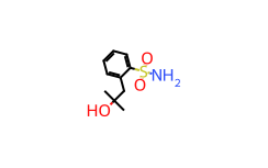 CC(C)(O)Cc1ccccc1S(N)(=O)=O